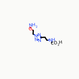 NOCCn1nnc(CCNC(=O)O)n1